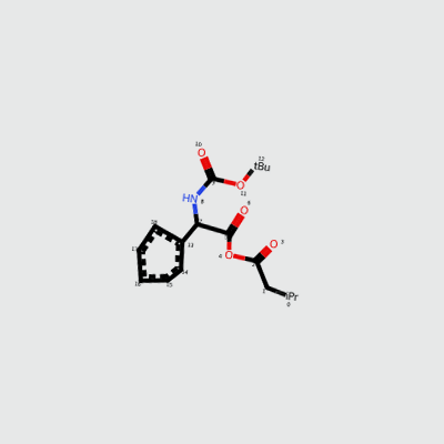 CC(C)CC(=O)OC(=O)C(NC(=O)OC(C)(C)C)c1ccccc1